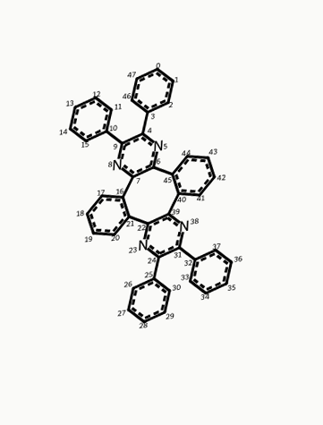 c1ccc(-c2nc3c(nc2-c2ccccc2)-c2ccccc2-c2nc(-c4ccccc4)c(-c4ccccc4)nc2-c2ccccc2-3)cc1